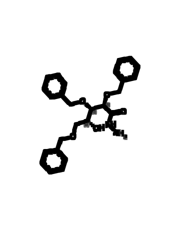 NNC(=O)[C@H](OCc1ccccc1)[C@H](OCc1ccccc1)[C@H](O)COCc1ccccc1